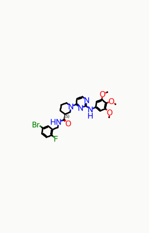 COc1cc(Nc2nccc(N3CCC[C@H](C(=O)NCc4cc(Br)ccc4F)C3)n2)cc(OC)c1OC